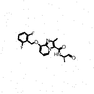 Cc1nc2c(OCc3c(F)cccc3F)cccn2c1C(=O)N[C@H](C)C=O